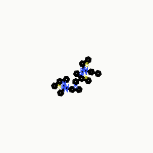 c1ccc(-c2ccc(-c3nc(-c4cccc5c4sc4ccccc45)nc(-n4c5ccccc5c5c(-c6cccc(-n7c8ccccc8c8ccc(-c9nc(-c%10ccccc%10)nc(-n%10c%11ccccc%11c%11ccc%12c%13ccccc%13sc%12c%11%10)n9)cc87)c6)cc6c7ccccc7sc6c54)n3)cc2)cc1